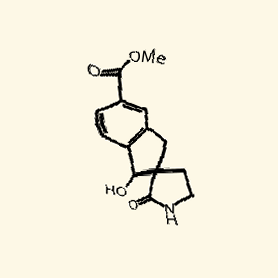 COC(=O)c1ccc2c(c1)CC1(CCNC1=O)C2O